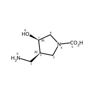 NC[C@@H]1CN(C(=O)O)C[C@@H]1O